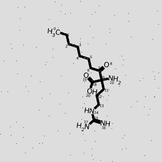 CCCCCCCC(=O)C(N)(CCCNC(=N)N)C(=O)O